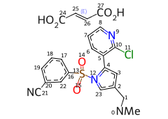 CNCc1cc(-c2cccnc2Cl)n(S(=O)(=O)c2cccc(C#N)c2)c1.O=C(O)/C=C/C(=O)O